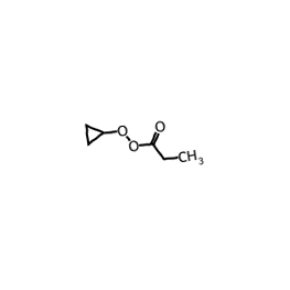 CCC(=O)OOC1CC1